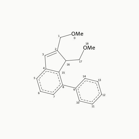 COCC1=Cc2cccc(-c3ccccc3)c2C1COC